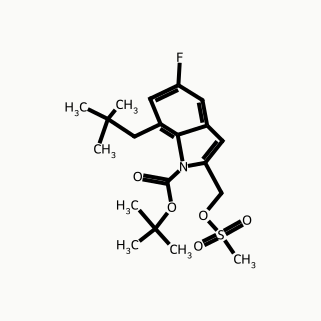 CC(C)(C)Cc1cc(F)cc2cc(COS(C)(=O)=O)n(C(=O)OC(C)(C)C)c12